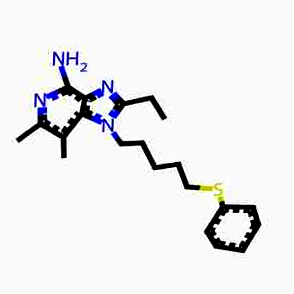 CCc1nc2c(N)nc(C)c(C)c2n1CCCCCSc1ccccc1